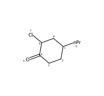 CCCC1CCC(=O)C(Cl)C1